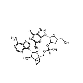 Nc1nc2c(nnn2[C@@H]2O[C@H](CO)C[C@H]2OP(O)(=S)OC[C@@]23O[C@@H](n4cnc5c(N)ncnc54)[C@H](O)[C@]24CC34)c(=O)[nH]1